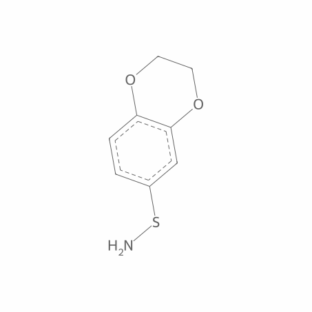 NSc1ccc2c(c1)OCCO2